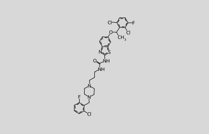 CC(Oc1ccc2nc(NC(=O)NCCCN3CCN(Cc4c(F)cccc4Cl)CC3)sc2c1)c1c(Cl)ccc(F)c1Cl